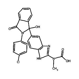 CN(C(=O)O)c1nc2cc(C3(O)c4ccccc4C(=O)N3c3ccc(Cl)cc3)ccc2[nH]1